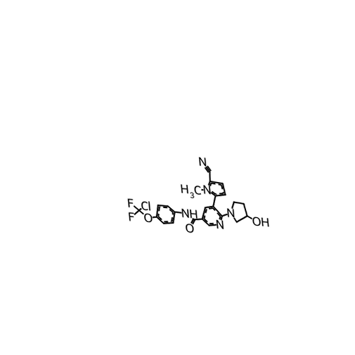 Cn1c(C#N)ccc1-c1cc(C(=O)Nc2ccc(OC(F)(F)Cl)cc2)cnc1N1CCC(O)C1